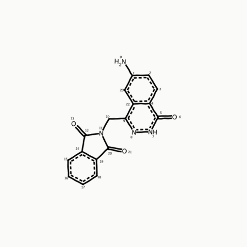 Nc1ccc2c(=O)[nH]nc(CN3C(=O)c4ccccc4C3=O)c2c1